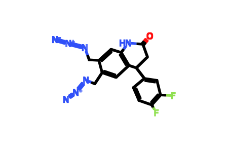 [N-]=[N+]=NCc1cc2c(cc1CN=[N+]=[N-])C(c1ccc(F)c(F)c1)CC(=O)N2